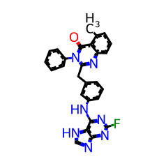 Cc1cccc2nc(Cc3cccc(Nc4nc(F)nc5nc[nH]c45)c3)n(-c3ccccc3)c(=O)c12